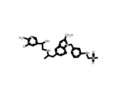 CC(Cc1ccc2c(c1)cc(C(=O)O)n2Cc1cccc(NCS(C)(=O)=O)c1)NCC(O)c1cnc(N)c(Cl)c1